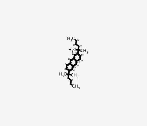 CCCCC(C)(C)c1ccc2cc3cc(C(C)(C)CCCC)ccc3cc2c1